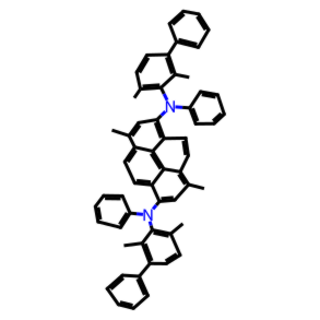 Cc1ccc(-c2ccccc2)c(C)c1N(c1ccccc1)c1cc(C)c2ccc3c(N(c4ccccc4)c4c(C)ccc(-c5ccccc5)c4C)cc(C)c4ccc1c2c43